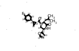 CC(C)C[C@H]1C(=O)N[C@@H](c2cnco2)CN1C(=O)[C@@H]1C[C@H]1c1ccc(F)cc1